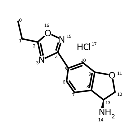 CCc1nc(-c2ccc3c(c2)OC[C@H]3N)no1.Cl